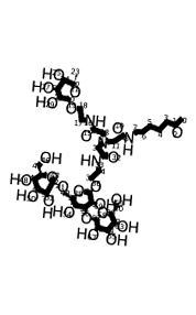 CC(=O)CCCCCNC(=O)CN(CC(=O)NCCO[C@@H]1O[C@@H](C)[C@@H](O)[C@H](O)[C@@H]1O)CC(=O)NCCO[C@H]1O[C@H](CO[C@H]2O[C@H](CO)[C@@H](O)[C@H](O)[C@@H]2O)[C@@H](O)[C@H](O[C@H]2O[C@H](CO)[C@@H](O)[C@H](O)[C@@H]2O)[C@@H]1O